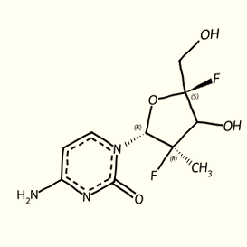 C[C@@]1(F)C(O)[C@@](F)(CO)O[C@H]1n1ccc(N)nc1=O